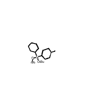 CCCO[Si](OCC(C)C)(C1CCCCC1)C1CCC(C)CC1